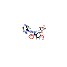 COc1ccc(C(=O)Nc2cnccn2)cc1OC1CCOC1